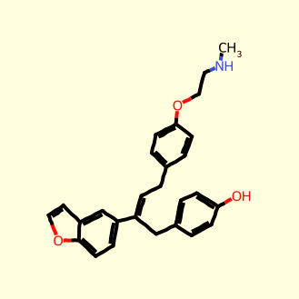 CNCCOc1ccc(CC=C(Cc2ccc(O)cc2)c2ccc3occc3c2)cc1